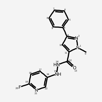 Cn1nc(-c2ccccc2)cc1C(=O)NNc1ccc(F)nc1